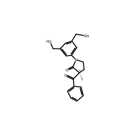 C[C@@]1(C(=O)c2ccccc2)CCN(c2cc(CO)cc(CO)c2)C1=O